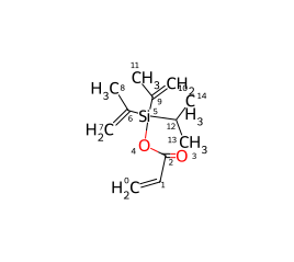 C=CC(=O)O[Si](C(=C)C)(C(=C)C)C(C)C